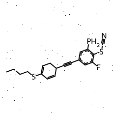 CCCCSC1=CCC(C#Cc2cc(F)c(SC#N)c(P)c2)C=C1